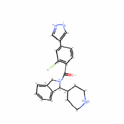 O=C(c1ccc(-c2cn[nH]c2)cc1F)N1Cc2ccccc2C1C1CCNCC1